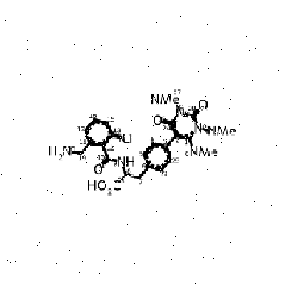 CNc1c(-c2ccc(C[C@H](NC(=O)c3c(Cl)cccc3CN)C(=O)O)cc2)c(=O)n(NC)c(=O)n1NC